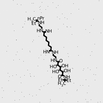 CCCC(C)(CC)NCCNC(=N)CCCCCCC(=N)NCCNC(=O)[C@H](O)[C@@H](O)[C@@H](O)[C@H](O)C(=O)NC(C)(CC)CC